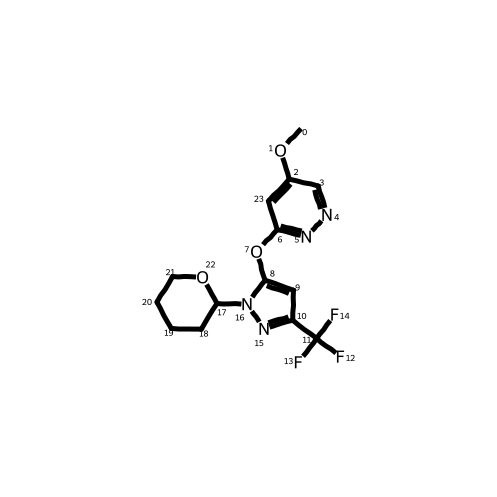 COc1cnnc(Oc2cc(C(F)(F)F)nn2C2CCCCO2)c1